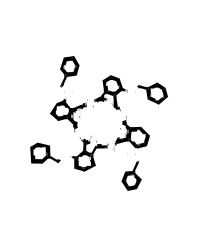 c1ccc(COc2cccc3c2-c2nc-3nc3[nH]c(nc4nc(nc5[nH]c(n2)c2cccc(OCc6ccccc6)c52)-c2cccc(OCc5ccccc5)c2-4)c2cccc(OCc4ccccc4)c32)cc1